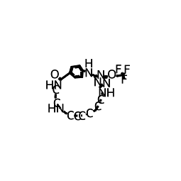 O=C1NCCCNCCCCCCCCNc2nc(nc(OCC(F)(F)F)n2)Nc2ccc1cc2